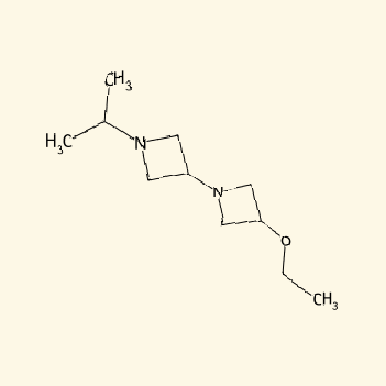 CCOC1CN(C2CN(C(C)C)C2)C1